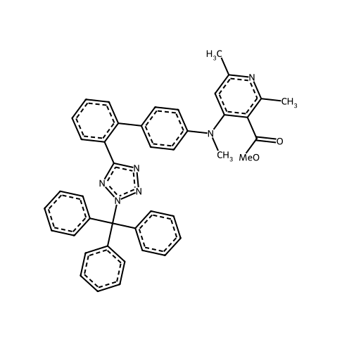 COC(=O)c1c(N(C)c2ccc(-c3ccccc3-c3nnn(C(c4ccccc4)(c4ccccc4)c4ccccc4)n3)cc2)cc(C)nc1C